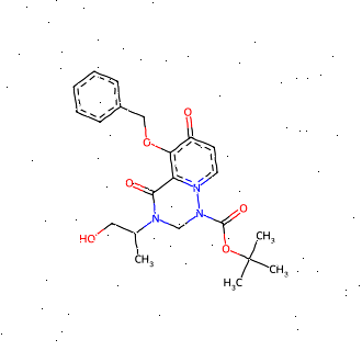 CC(CO)N1CN(C(=O)OC(C)(C)C)n2ccc(=O)c(OCc3ccccc3)c2C1=O